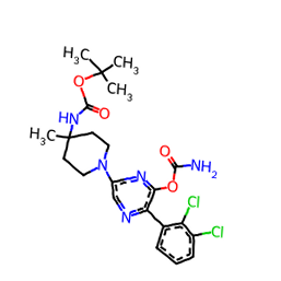 CC1(NC(=O)OC(C)(C)C)CCN(c2cnc(-c3cccc(Cl)c3Cl)c(OC(N)=O)n2)CC1